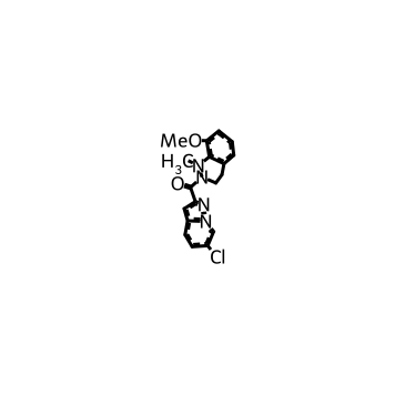 COc1cccc2c1N(C)N(C(=O)c1cc3ccc(Cl)cn3n1)CC2